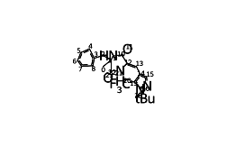 CC1(Cc2ccccc2)NC(=O)/C(=C/c2cnn(C(C)(C)C)c2C(F)(F)F)NC1=O